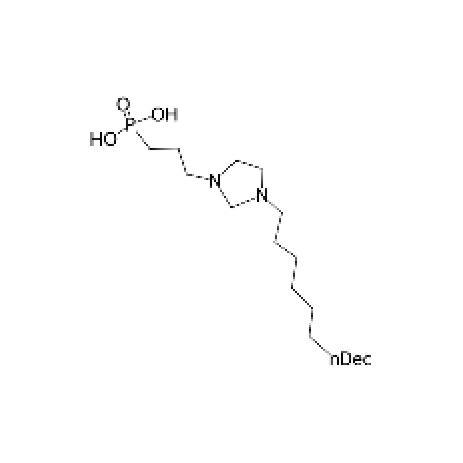 CCCCCCCCCCCCCCCCN1CCN(CCCP(=O)(O)O)C1